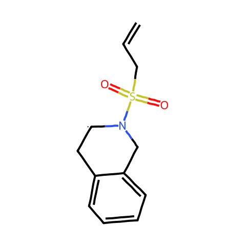 C=CCS(=O)(=O)N1[CH]Cc2ccccc2C1